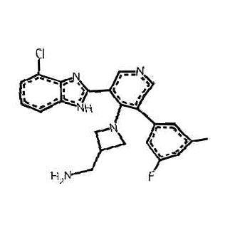 Cc1cc(F)cc(-c2cncc(-c3nc4c(Cl)cccc4[nH]3)c2N2CC(CN)C2)c1